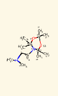 CN(C)C[SiH2]N1[Si](C)(C)O[Si](C)(C)O[Si]1(C)C